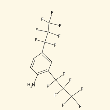 Nc1ccc(C(F)(F)C(F)(F)C(F)(F)F)cc1C(F)(F)C(F)(F)C(F)(F)F